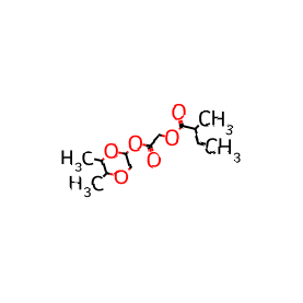 CCC(C)C(=O)OCC(=O)OC1COC(C)C(C)O1